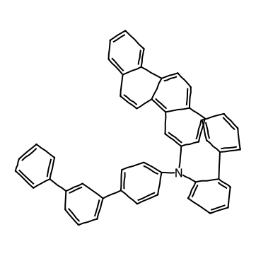 c1ccc(-c2cccc(-c3ccc(N(c4ccc5ccc6c7ccccc7ccc6c5c4)c4ccccc4-c4ccccc4)cc3)c2)cc1